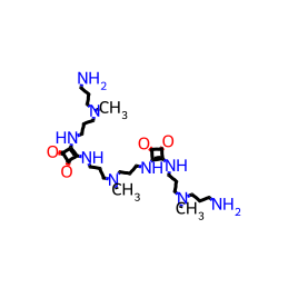 CN(CCCN)CCCNc1c(NCCCN(C)CCCNc2c(NCCCN(C)CCCN)c(=O)c2=O)c(=O)c1=O